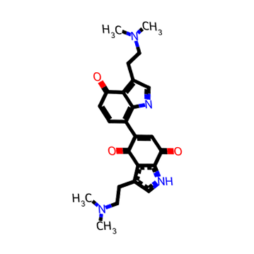 CN(C)CCC1=C2C(=O)C=CC(C3=CC(=O)c4[nH]cc(CCN(C)C)c4C3=O)=C2N=C1